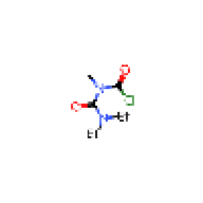 CCN(CC)C(=O)N(C)C(=O)Cl